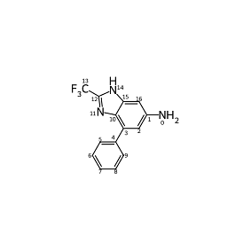 Nc1cc(-c2ccccc2)c2nc(C(F)(F)F)[nH]c2c1